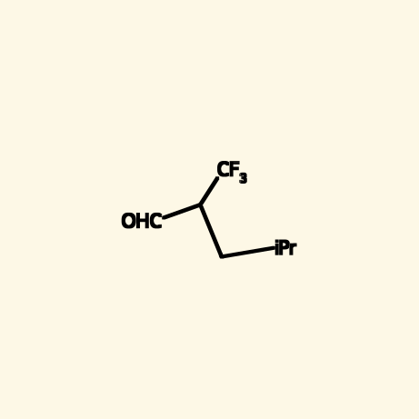 CC(C)CC(C=O)C(F)(F)F